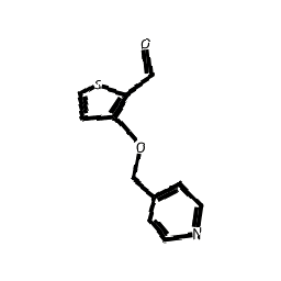 O=Cc1sccc1OCc1ccncc1